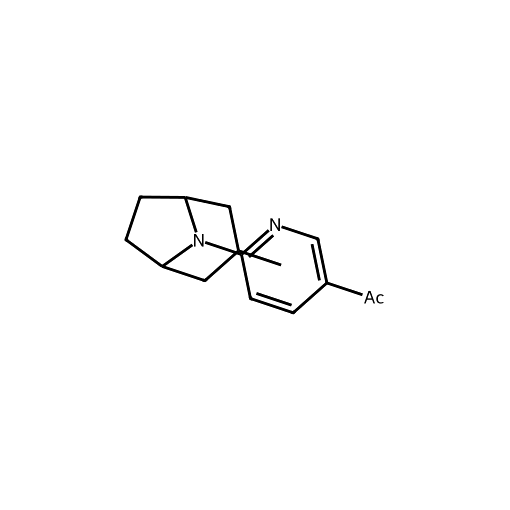 CC(=O)c1ccc(N2C3CCC2CC(C)C3)nc1